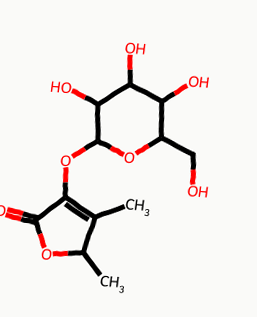 CC1=C(OC2OC(CO)C(O)C(O)C2O)C(=O)OC1C